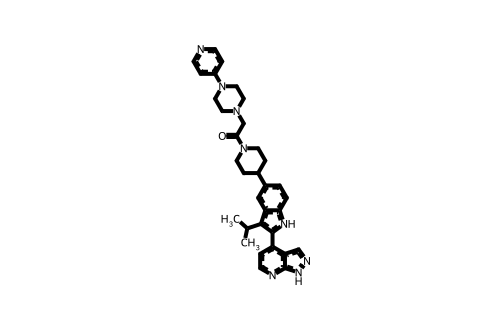 CC(C)c1c(-c2ccnc3[nH]ncc23)[nH]c2ccc(C3CCN(C(=O)CN4CCN(c5ccncc5)CC4)CC3)cc12